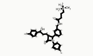 C[N+](C)(C)CCCC(=O)NCc1cccc(C2C(CCC(O)c3ccc(F)cc3)C(=O)N2c2ccc(F)cc2)c1